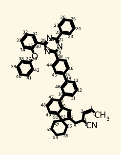 C/C=C\C(C#N)CC1=Cc2c(-c3cccc(-c4ccc(-c5nc(-c6ccccc6)nc(-c6ccccc6Oc6ccccc6)n5)cc4)c3)cccc2C12CCCCC2